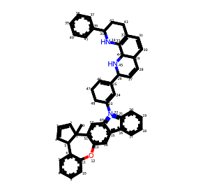 CC12C=C=CC1c1ccccc1Oc1cc3c4ccccc4n(C4=CC(C5C=CC6C=CC7=C(NC(c8ccccc8)CC7)C6N5)=CCC4)c3cc12